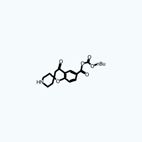 CCCCOC(=O)OC(=O)c1ccc2c(c1)C(=O)CC1(CCNCC1)O2